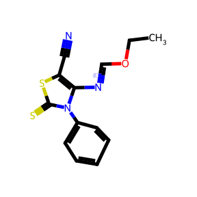 CCO/C=N/c1c(C#N)sc(=S)n1-c1ccccc1